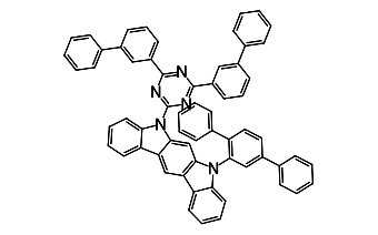 c1ccc(-c2cccc(-c3nc(-c4cccc(-c5ccccc5)c4)nc(-n4c5ccccc5c5cc6c7ccccc7n(-c7cc(-c8ccccc8)ccc7-c7ccccc7)c6cc54)n3)c2)cc1